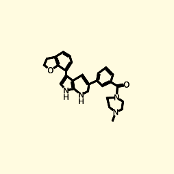 CN1CCN(C(=O)c2cccc(C3=Cc4c(-c5cccc6c5OCC6)c[nH]c4NC3)c2)CC1